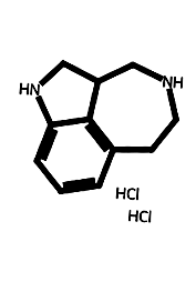 Cl.Cl.c1cc2c3c(c1)NCC3CNCC2